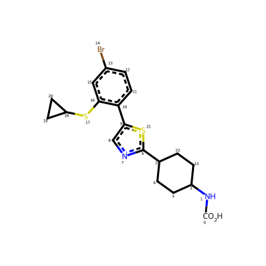 O=C(O)NC1CCC(c2ncc(-c3ccc(Br)cc3SC3CC3)s2)CC1